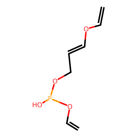 C=CO/C=C/COP(O)OC=C